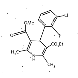 CCOC(=O)C1=C(C)NC(C)=C(C(=O)OC)C1c1cccc(Cl)c1F